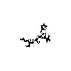 CCCCC(CC)CNC(=O)/N=c1\sc(C(C)(C)C)nn1C[C@H]1CCCO1